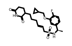 C[C@@H](NS(=O)(=O)C/C=C/CCCC1CCC(=O)NC1=O)c1ccc(F)c(OCC2CC2)c1